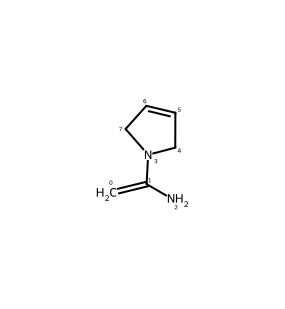 C=C(N)N1CC=CC1